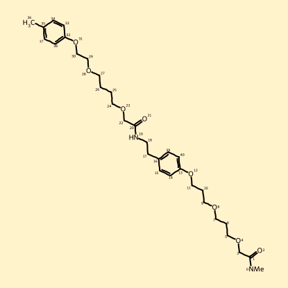 CNC(=O)COCCCOCCCOc1ccc(CCNC(=O)COCCCCOCCOc2ccc(C)cc2)cc1